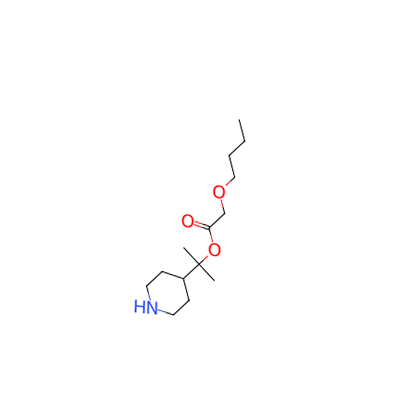 CCCCOCC(=O)OC(C)(C)C1CCNCC1